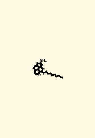 CCCCCCCCCCc1cc2cc(N)cc3ccc4cccc1c4c32